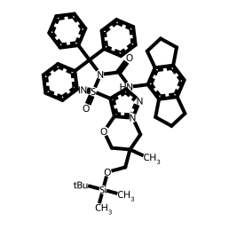 CC1(CO[Si](C)(C)C(C)(C)C)COc2c(S(=N)(=O)N(C(=O)Nc3c4c(cc5c3CCC5)CCC4)C(c3ccccc3)(c3ccccc3)c3ccccc3)cnn2C1